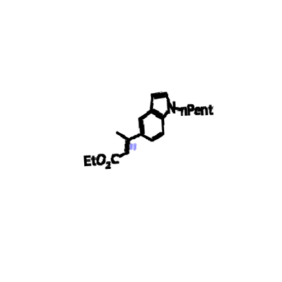 CCCCCn1ccc2cc(/C(C)=C/C(=O)OCC)ccc21